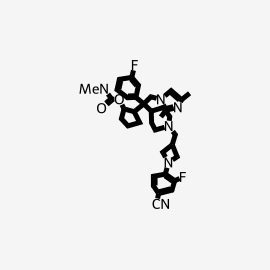 CNC(=O)OC1CCCC1C(Cn1cc(C)nc1C)(c1cccc(F)c1)C1CCN(CC2CN(c3ccc(C#N)cc3F)C2)CC1